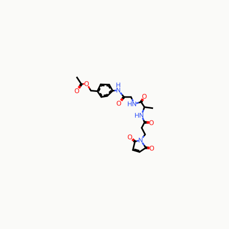 CC(=O)OCc1ccc(NC(=O)CNC(=O)C(C)NC(=O)CCN2C(=O)C=CC2=O)cc1